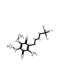 COC1=C(OC)C(=O)C(CCCCC(F)(F)F)=C(C)C1=O